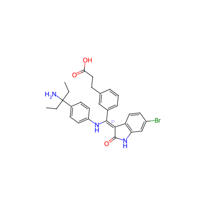 CCC(N)(CC)c1ccc(N/C(=C2\C(=O)Nc3cc(Br)ccc32)c2cccc(CCC(=O)O)c2)cc1